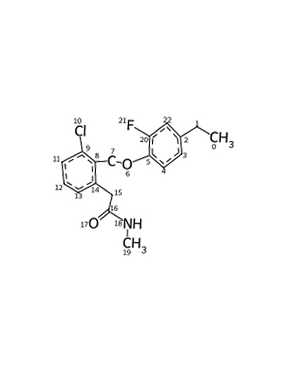 CCc1ccc(OCc2c(Cl)cccc2CC(=O)NC)c(F)c1